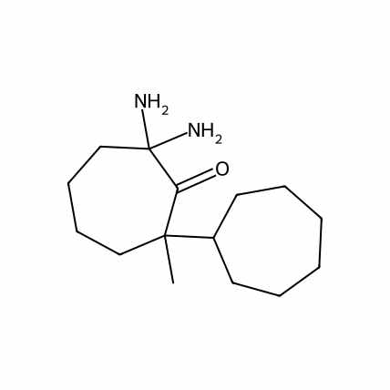 CC1(C2CCCCCC2)CCCCC(N)(N)C1=O